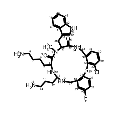 CN1C(=O)C(CCCCN)NC(CCCN)NCc2cc(F)ccc2Sc2c(Cl)cccc2CNC(=O)C1Cc1c[nH]c2ccccc12